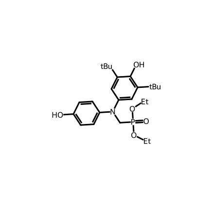 CCOP(=O)(CN(c1ccc(O)cc1)c1cc(C(C)(C)C)c(O)c(C(C)(C)C)c1)OCC